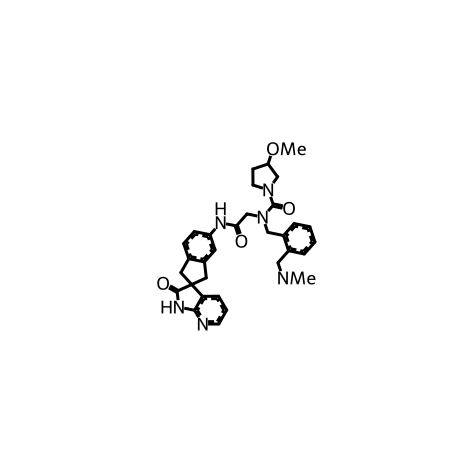 CNCc1ccccc1CN(CC(=O)Nc1ccc2c(c1)CC1(C2)C(=O)Nc2ncccc21)C(=O)N1CCC(OC)C1